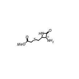 COC(=O)CSCC1NC(=O)[C@H]1N